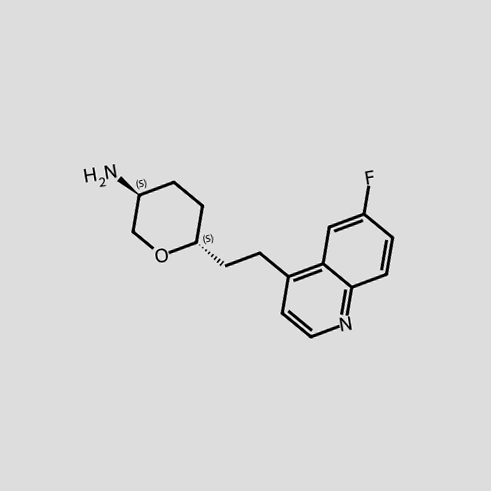 N[C@H]1CC[C@H](CCc2ccnc3ccc(F)cc23)OC1